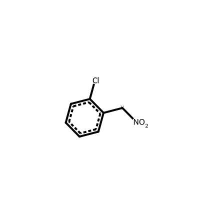 O=[N+]([O-])[C]c1ccccc1Cl